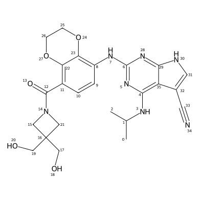 CC(C)Nc1nc(Nc2ccc(C(=O)N3CC(CO)(CO)C3)c3c2OCCO3)nc2[nH]cc(C#N)c12